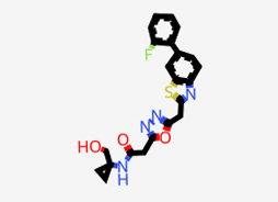 O=C(Cc1nnc(Cc2nc3ccc(-c4ccccc4F)cc3s2)o1)NC1(CO)CC1